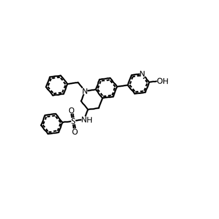 O=S(=O)(NC1Cc2cc(-c3ccc(O)nc3)ccc2N(Cc2ccccc2)C1)c1ccccc1